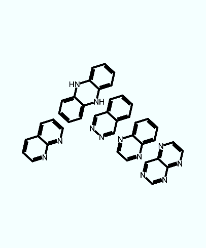 c1ccc2c(c1)Nc1ccccc1N2.c1ccc2cnncc2c1.c1ccc2nccnc2c1.c1cnc2ncccc2c1.c1cnc2ncncc2n1